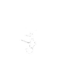 COc1cccc2c(=O)c(C(=O)NC34CC5CC(CC(C5)C3)C4)cn(CCOCCBr)c12